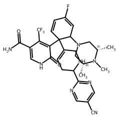 C[C@@H]1CN(C2C=C(F)C=CC2(C2=CCC(c3ncc(C#N)cn3)NC2)c2c(C(F)(F)F)c(C(N)=O)c[nH]c2=O)C[C@H](C)N1C